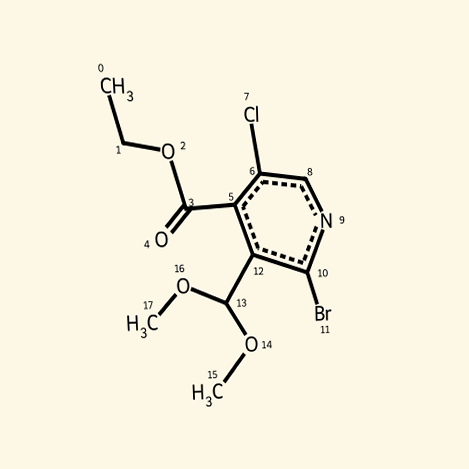 CCOC(=O)c1c(Cl)cnc(Br)c1C(OC)OC